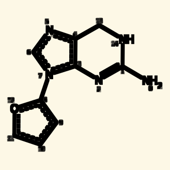 NC1=Nc2c(ncn2-c2ccco2)CN1